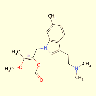 CO/C(C)=C(/Cn1cc(CCN(C)C)c2ccc(C)cc21)OC=O